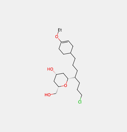 CCOC1=CCC(CCCC(CCCCl)[C@H]2C[C@@H](O)C[C@@H](CO)O2)CC1